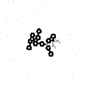 CC1(C)c2ccccc2-c2ccc(N(c3ccc(-c4ccccc4)cc3)c3ccc(-c4cccc5c4-c4ccc(-c6ccccc6)cc4C54c5ccccc5-c5ccc(-c6ccccc6)cc54)cc3)cc21